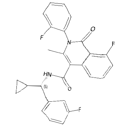 Cc1c(C(=O)N[C@H](c2cccc(F)c2)C2CC2)c2cccc(F)c2c(=O)n1-c1ccccc1F